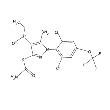 CC[S+]([O-])c1c(SC(N)=O)nn(-c2c(Cl)cc(OC(F)(F)F)cc2Cl)c1N